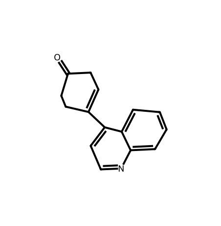 O=C1CC=C(c2ccnc3ccccc23)CC1